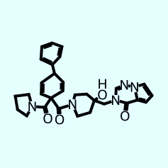 O=C(N1CCCC1)C1(C(=O)N2CCC(O)(Cn3cnn4cccc4c3=O)CC2)C=CC(c2ccccc2)C=C1